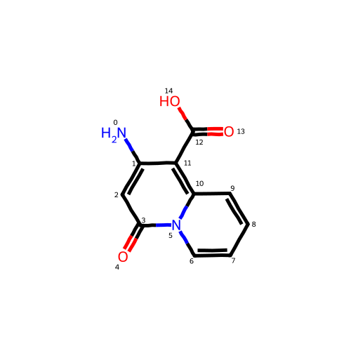 Nc1cc(=O)n2ccccc2c1C(=O)O